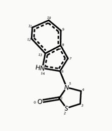 O=C1SCCN1c1cc2ccccc2[nH]1